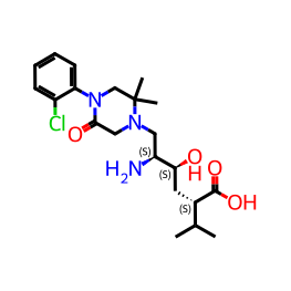 CC(C)[C@H](C[C@H](O)[C@@H](N)CN1CC(=O)N(c2ccccc2Cl)CC1(C)C)C(=O)O